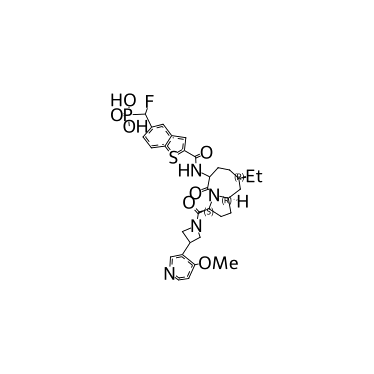 CC[C@@H]1CCC(NC(=O)c2cc3cc(C(F)P(=O)(O)O)ccc3s2)C(=O)N2[C@H](CC[C@H]2C(=O)N2CC(c3cnccc3OC)C2)C1